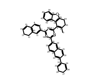 CC1=C(c2nc(-c3ccc4c(c3)CCC=C4)nc(-c3ccc4cc(C5=CCCC=C5)ccc4c3)n2)c2c(oc3ccccc23)CC1